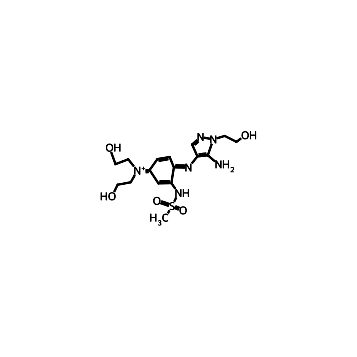 CS(=O)(=O)NC1=CC(=[N+](CCO)CCO)C=CC1=Nc1cnn(CCO)c1N